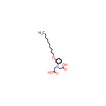 CCCCCCCCCCOc1cccc(N(CC(=O)O)CC(=O)O)c1